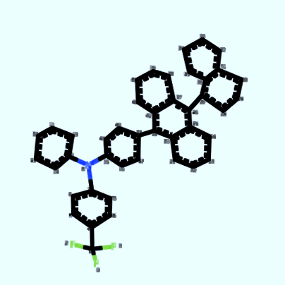 FC(F)(F)c1ccc(N(c2ccccc2)c2ccc(-c3c4ccccc4c(-c4cccc5ccccc45)c4ccccc34)cc2)cc1